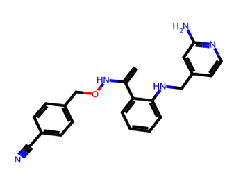 C=C(NOCc1ccc(C#N)cc1)c1ccccc1NCc1ccnc(N)c1